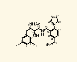 CC(=O)N[C@@H](Cc1cc(F)cc(F)c1)[C@H](O)CNCc1cc(CC(C)C)ccc1N1C=NCC1